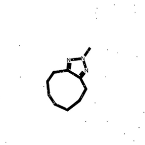 Cn1nc2c(n1)CCCCCCC2